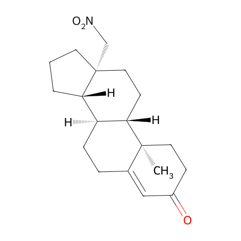 C[C@]12CCC(=O)C=C1CC[C@H]1[C@@H]3CCC[C@@]3(C[N+](=O)[O-])CC[C@@H]12